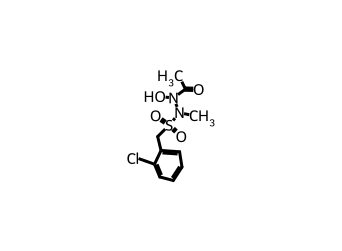 CC(=O)N(O)N(C)S(=O)(=O)Cc1ccccc1Cl